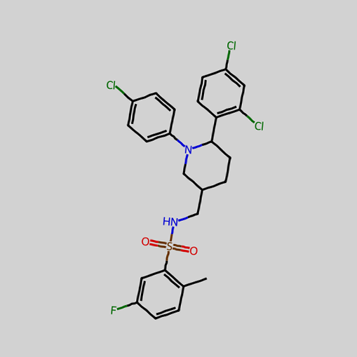 Cc1ccc(F)cc1S(=O)(=O)NCC1CCC(c2ccc(Cl)cc2Cl)N(c2ccc(Cl)cc2)C1